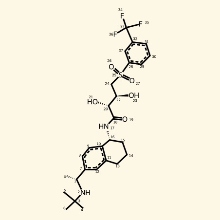 C[C@@H](NC(C)(C)C)c1ccc2c(c1)CCC[C@H]2NC(=O)[C@H](O)[C@H](O)CS(=O)(=O)c1cccc(C(F)(F)F)c1